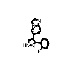 Fc1ccccc1-c1n[nH]cc1-c1ccc2nccn2c1